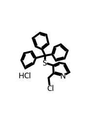 Cl.ClCc1ncccc1SC(c1ccccc1)(c1ccccc1)c1ccccc1